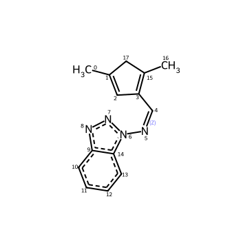 CC1=CC(/C=N\n2nnc3ccccc32)=C(C)C1